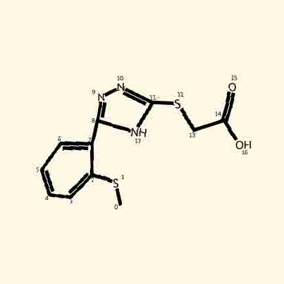 CSc1ccccc1-c1nnc(SCC(=O)O)[nH]1